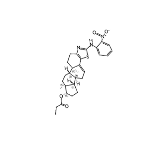 CCC(=O)O[C@H]1CC[C@H]2[C@@H]3CC=C4c5sc(Nc6ccccc6[N+](=O)[O-])nc5CC[C@]4(C)[C@H]3CC[C@]12C